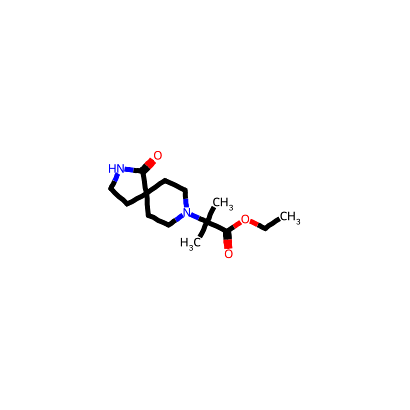 CCOC(=O)C(C)(C)N1CCC2(CCNC2=O)CC1